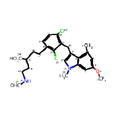 Cc1cc(OC(F)(F)F)cc2c1c(Cc1c(Cl)ccc(CCC(CCNC=O)C(=O)O)c1Cl)cn2C